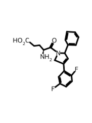 N[C@@H](CCC(=O)O)C(=O)N1CC(c2cc(F)ccc2F)=CC1c1ccccc1